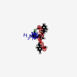 C#C[C@]1(COC(=O)CC(C)(C)c2c(C)cc(C)cc2OC(C)=O)O[C@@H](n2cnc3c(N)nc(F)nc32)C[C@@H]1OC(=O)CC(C)(C)c1c(C)cc(C)cc1OC(C)=O